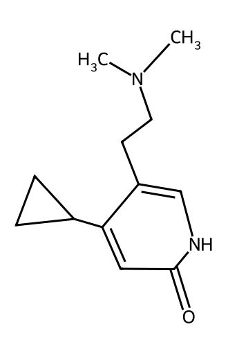 CN(C)CCc1c[nH]c(=O)cc1C1CC1